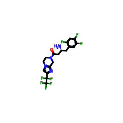 N[C@@H](CC(=O)N1CCn2cc(C(F)(F)C(F)(F)F)nc2C1)Cc1cc(F)c(F)cc1F